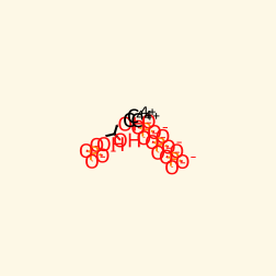 O=P([O-])([O-])[O-].O=P([O-])([O-])[O-].O=P([O-])([O-])[O-].O=P([O-])([O-])[O-].OCC(O)CO.[C+4].[C+4].[C+4]